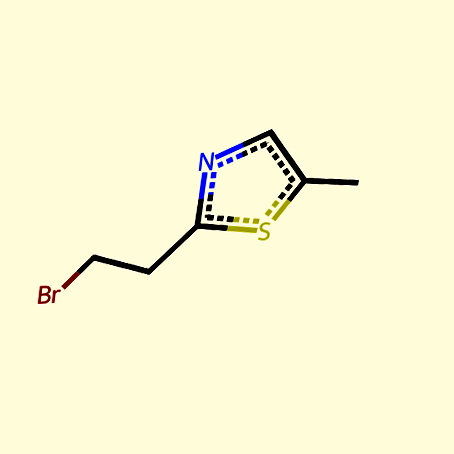 Cc1cnc(CCBr)s1